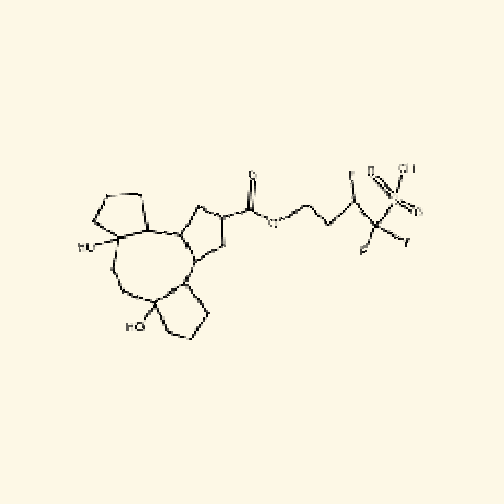 O=C(OCCC(F)C(F)(F)S(=O)(=O)O)C1CC2C(C1)C1CCCC1(O)CCC1(O)CCCC21